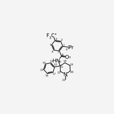 CC(C)c1cc(C(F)(F)F)ccc1C(=O)NC1(c2ccccc2)CCCN(C)C1